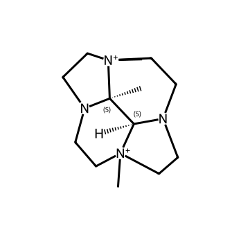 C[C@]12[C@H]3N4CC[N+]3(C)CCN1CC[N+]2(C)CC4